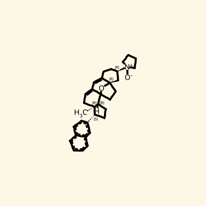 C[C@]12CC=C3C=C4CC[C@@H]([N+]5([O-])CCCC5)C[C@]45CCC3(O5)[C@@H]1CC[C@@H]2c1ccc2ccccc2c1